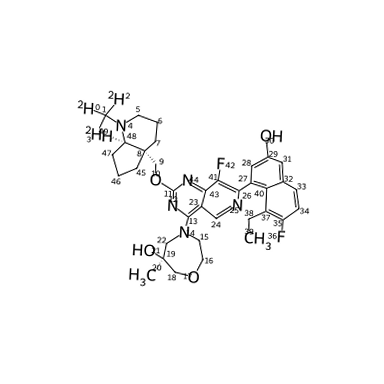 [2H]C([2H])([2H])N1CCC[C@@]2(COc3nc(N4CCOC[C@@](C)(O)C4)c4cnc(-c5cc(O)cc6ccc(F)c(CC)c56)c(F)c4n3)CCC[C@@H]12